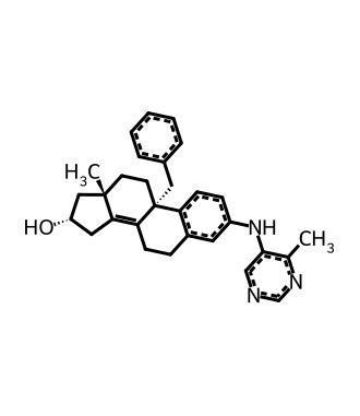 Cc1ncncc1Nc1ccc2c(c1)CCC1=C3C[C@H](O)C[C@]3(C)CC[C@]12Cc1ccccc1